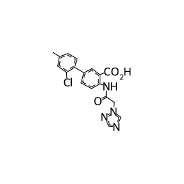 Cc1ccc(-c2ccc(NC(=O)Cn3cncn3)c(C(=O)O)c2)c(Cl)c1